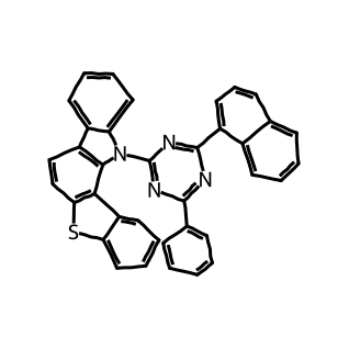 c1ccc(-c2nc(-c3cccc4ccccc34)nc(-n3c4ccccc4c4ccc5sc6ccccc6c5c43)n2)cc1